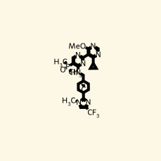 COc1ncnc(C2CC2)c1-c1ncc(P(C)(C)=O)c(NCC23CCC(c4nc(C(F)(F)F)cn4C)(CC2)CC3)n1